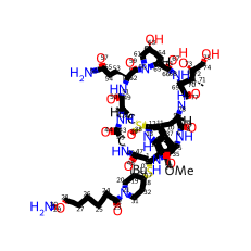 CC[C@H](C)[C@@H]1NC(=O)CNC(=O)[C@@H]2Cc3c([nH]c4c(CSC5CCN(C(=O)CCCCCON)CC5)c(OC)ccc34)[S+]([O-])C[C@H](NC(=O)CNC1=O)C(=O)N[C@@H](CCC(N)=O)C(=O)N1C[C@H](O)C[C@H]1C(=O)N[C@@H]([C@@H](C)[C@@H](O)CO)C(=O)N2